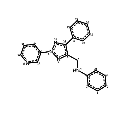 c1ccc(NCc2nn(-c3cccnc3)nc2-c2ccccc2)cc1